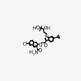 CC(C)(O)C(O)CCn1cc(C(=O)COc2cc3ccc(Cl)cc3cc2C(N)=O)c2ccc(C3CC3)cc21